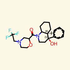 O=C(C1CN(CC(F)(F)F)CCO1)N1CC[C@@](O)(c2ccccc2)[C@@H]2CCCCC21